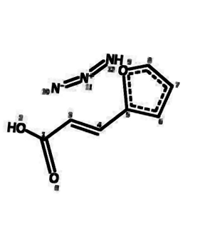 O=C(O)C=Cc1ccco1.[N-]=[N+]=N